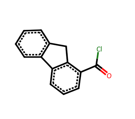 O=C(Cl)c1cccc2c1Cc1ccccc1-2